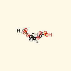 Cc1cc(OCCCS(C)(=O)=O)cc(C)c1-c1cccc(COc2ccc3c(c2)OCCC3CS(=O)O)c1